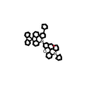 c1ccc(-c2ccc(N(c3cc4c5c(cccc5c3)-c3c(cccc3N(c3ccccc3)c3ccccc3)O4)c3cccc4c3-c3ccccc3C4(c3ccccc3)c3ccccc3)cc2)cc1